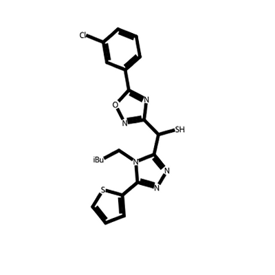 CCC(C)Cn1c(-c2cccs2)nnc1C(S)c1noc(-c2cccc(Cl)c2)n1